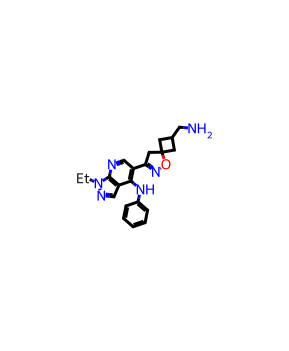 CCn1ncc2c(Nc3ccccc3)c(C3=NOC4(C3)CC(CN)C4)cnc21